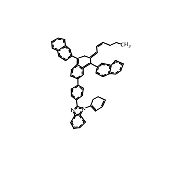 CCC/C=C\C=C1/CC(c2ccc3ccccc3c2)=c2ccc(-c3ccc(-c4nc5ccccc5n4C4=CC=CCC4)cc3)cc2=C1c1ccc2ccccc2c1